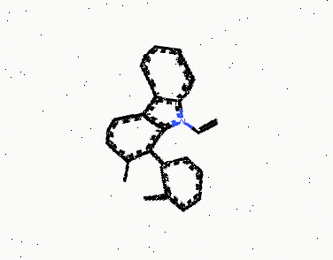 C=Cn1c2ccccc2c2ccc(C)c(-c3ccccc3C)c21